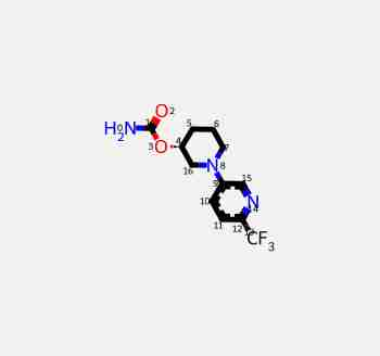 NC(=O)O[C@@H]1CCCN(c2ccc(C(F)(F)F)nc2)C1